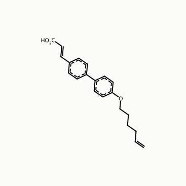 C=CCCCCOc1ccc(-c2ccc(C=CC(=O)O)cc2)cc1